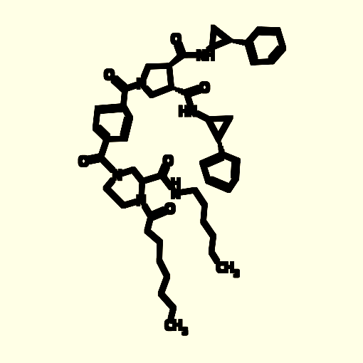 CCCCCCCC(=O)N1CCN(C(=O)c2ccc(C(=O)N3C[C@@H](C(=O)NC4C[C@@H]4c4ccccc4)[C@H](C(=O)NC4C[C@@H]4c4ccccc4)C3)cc2)CC1C(=O)NCCCCCC